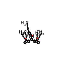 CCCCCCCCOc1ccc(-c2nnc(-c3cc(-c4ccc5c(c4)C(CCCCCCCC)(CCCCCCCC)c4ccccc4-5)cc(-c4ccc5c(c4)C(CCCCCCCC)(CCCCCCCC)c4ccccc4-5)c3)o2)cc1